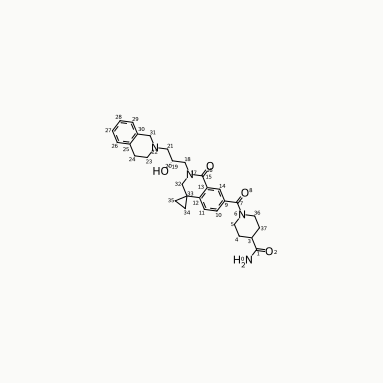 NC(=O)C1CCN(C(=O)c2ccc3c(c2)C(=O)N(C[C@H](O)CN2CCc4ccccc4C2)CC32CC2)CC1